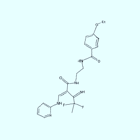 CCOc1ccc(C(=O)NCCNC(=O)/C(=C/Nc2ccccn2)C(=N)C(C)(F)F)cc1